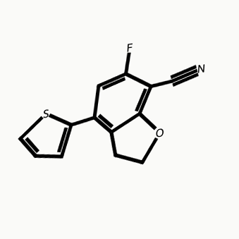 N#Cc1c(F)cc(-c2cccs2)c2c1OCC2